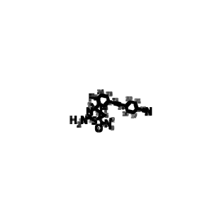 CN(C)C(=O)[C@]12C[C@H]1[C@@](C)(c1cc(C#Cc3ccc(C#N)cc3)ccc1F)N=C(N)S2